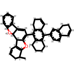 CC1CC=CC2=C1OC1=C(c3c4c(c(-c5ccc6c(c5)CCC=C6)c5c3CCCC5)C=CCC4)C=C3c4ccccc4OC3C21